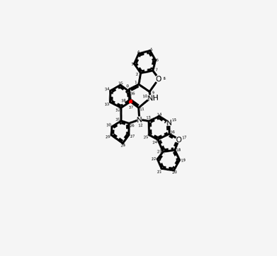 C1=C2c3ccccc3OC2NC(N(c2cnc3oc4ccccc4c3c2)c2ccccc2-c2ccccc2)=C1